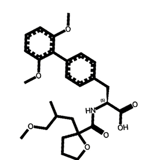 COCC(C)CC1(C(=O)N[C@@H](Cc2ccc(-c3c(OC)cccc3OC)cc2)C(=O)O)CCCO1